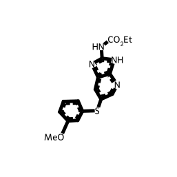 CCOC(=O)Nc1nc2cc(Sc3cccc(OC)c3)cnc2[nH]1